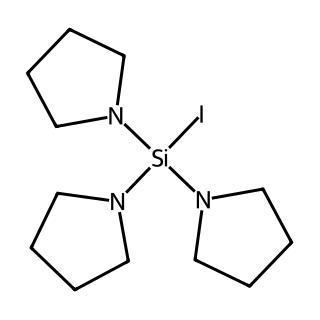 I[Si](N1CCCC1)(N1CCCC1)N1CCCC1